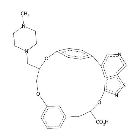 CN1CCN(CC2COc3cccc(c3)CC(C(=O)O)Oc3nsc4cncc(c34)-c3ccc(cc3)O2)CC1